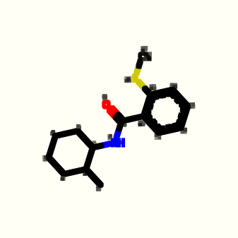 CC1CCCCC1NC(=O)c1ccccc1SC#N